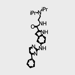 CC(C)N(CCNC(=O)c1cc2cc(Nc3nccc(-c4ccccc4)n3)ccc2[nH]1)C(C)C